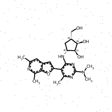 Cc1cc2cc(-c3c(C)nc(N(C)C)nc3N[C@@H]3C[C@H](CO)[C@@H](O)[C@H]3O)oc2c(C)n1